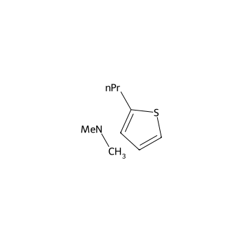 CCCc1cccs1.CNC